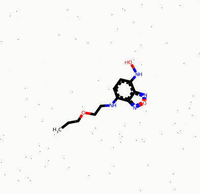 CCCOCCNc1ccc(NO)c2nonc12